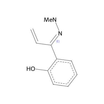 C=C/C(=N\NC)c1ccccc1O